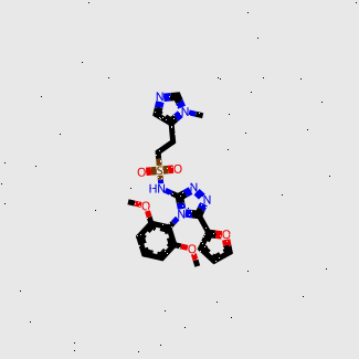 COc1cccc(OC)c1-n1c(NS(=O)(=O)CCc2cncn2C)nnc1-c1ccco1